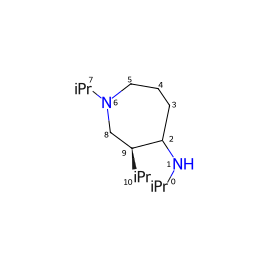 CC(C)NC1CCCN(C(C)C)C[C@@H]1C(C)C